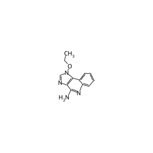 CCOn1cnc2c(N)nc3ccccc3c21